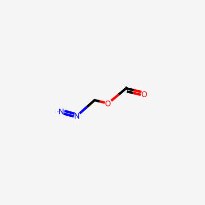 [N]=NCO[C]=O